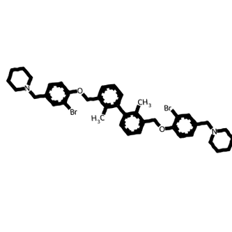 Cc1c(COc2ccc(CN3CCCCC3)cc2Br)cccc1-c1cccc(COc2ccc(CN3CCCCC3)cc2Br)c1C